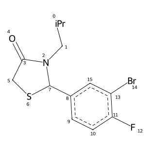 CC(C)CN1C(=O)CSC1c1ccc(F)c(Br)c1